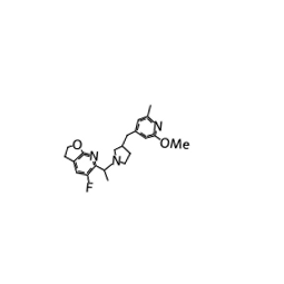 COc1cc(CC2CCN(C(C)c3nc4c(cc3F)CCO4)C2)cc(C)n1